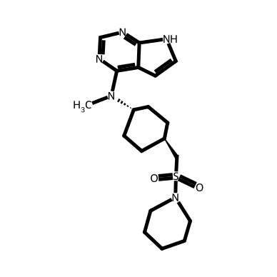 CN(c1ncnc2[nH]ccc12)[C@H]1CC[C@H](CS(=O)(=O)N2CCCCC2)CC1